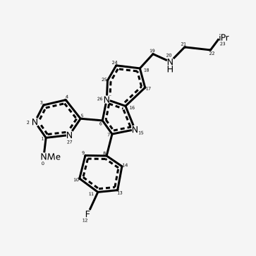 CNc1nccc(-c2c(-c3ccc(F)cc3)nc3cc(CNCCC(C)C)ccn23)n1